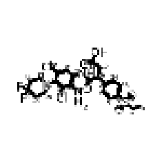 CCS(=O)(=O)c1ccc(C(CC(=O)O)C(=O)Nc2cc(Cl)c(N3CCC(F)(F)CC3)c(Cl)c2N)cc1